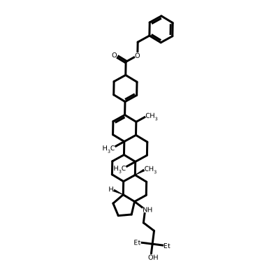 CCC(O)(CC)CCNC12CCC[C@@H]1C1CCC3C4(C)CC=C(C5=CCC(C(=O)OCc6ccccc6)CC5)C(C)C4CCC3(C)[C@]1(C)CC2